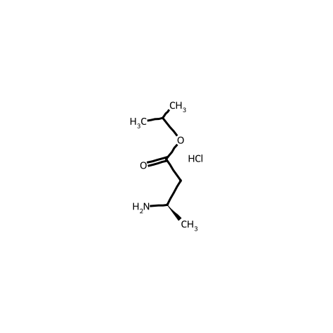 CC(C)OC(=O)C[C@@H](C)N.Cl